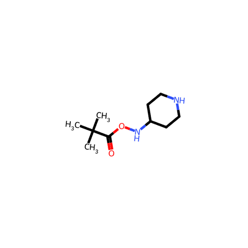 CC(C)(C)C(=O)ONC1CCNCC1